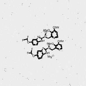 COc1ccnc(C[S+]([O-])C2[N-]c3cc(OC(F)F)ccc3N2)c1OC.COc1ccnc(C[S+]([O-])C2[N-]c3cc(OC(F)F)ccc3N2)c1OC.[Mg+2]